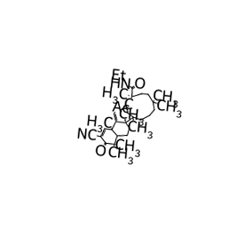 CCNC(=O)[C@@]1(C)CCC(C)(C)CCC[C@](C)([C@]2(C)CCC3C(C)(C)C(=O)C(C#N)=C[C@]3(C)/C2=C/C(C)=O)CC1